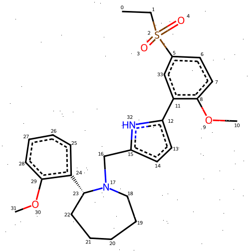 CCS(=O)(=O)c1ccc(OC)c(-c2ccc(CN3CCCCC[C@@H]3c3ccccc3OC)[nH]2)c1